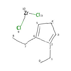 CCC1=C[CH]C=C1CC.[Cl][Zr][Cl]